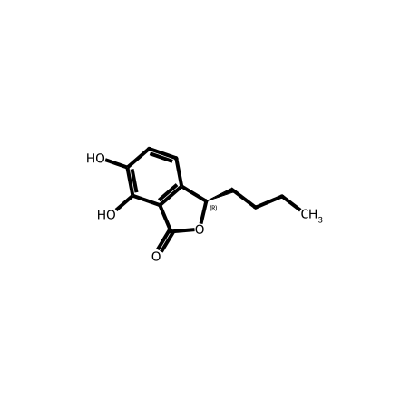 CCCC[C@H]1OC(=O)c2c1ccc(O)c2O